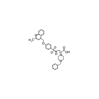 Cc1cc(COc2ccc(S(=O)(=O)NC[C@@H](C(=O)O)N3CCN(Cc4ccccc4)CC3)cc2)c2ccccc2n1